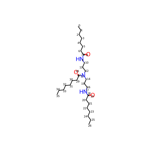 CCCCCCCC(=O)NCCCN(CCCNC(=O)CCCCCCC)C(=O)CCCCCCC